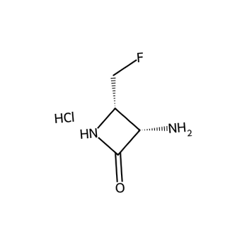 Cl.N[C@@H]1C(=O)N[C@@H]1CF